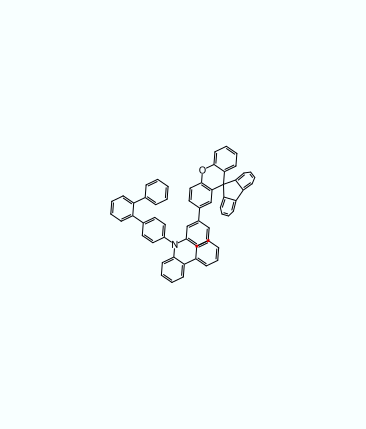 c1ccc(-c2ccccc2-c2ccc(N(c3cccc(-c4ccc5c(c4)C4(c6ccccc6O5)c5ccccc5-c5ccccc54)c3)c3ccccc3-c3ccccc3)cc2)cc1